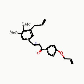 C=CCOc1ccc(C(=O)/C=C/c2cc(CC=C)c(OC)c(OC)c2)cc1